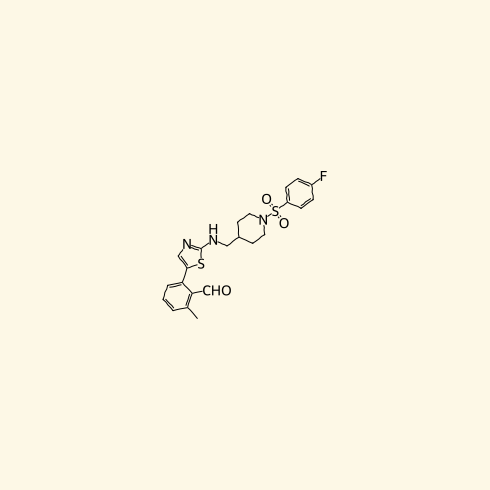 Cc1cccc(-c2cnc(NCC3CCN(S(=O)(=O)c4ccc(F)cc4)CC3)s2)c1C=O